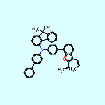 C=Cc1oc2c(-c3ccc(N(c4ccc(-c5ccccc5)cc4)c4cccc5c4-c4ccccc4C5(C)C)cc3)cccc2c1/C=C\C